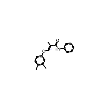 C/C(=C\Oc1ccc(C)c(C)c1)C(=O)Nc1ccccc1